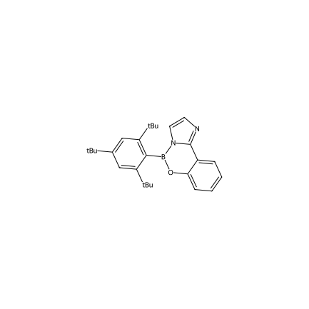 CC(C)(C)c1cc(C(C)(C)C)c(B2Oc3ccccc3-c3nccn32)c(C(C)(C)C)c1